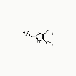 C=Pc1nc(C)c(C)s1